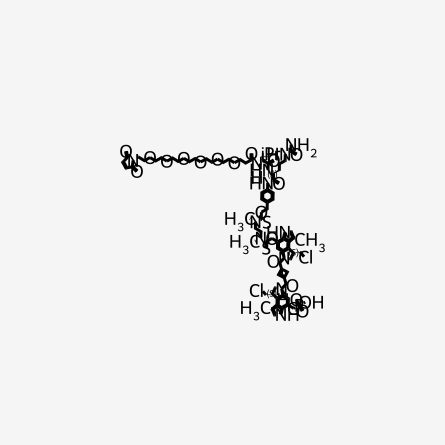 Cc1c[nH]c2c(OC(=S)N(C)CCN(C)C(=S)OCc3ccc(NC(=O)[C@H](CCCNC(N)=O)NC(=O)[C@@H](NC(=O)CCOCCOCCOCCOCCOCCOCCN4C(=O)C=CC4=O)C(C)C)cc3)cc3c(c12)[C@H](CCl)CN3C(=O)C12CC(C(=O)N3C[C@@H](CCl)c4c3cc(OP(=O)(O)O)c3[nH]cc(C)c43)(C1)C2